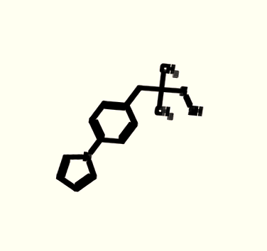 CC(C)(Cc1ccc(-n2cccc2)cc1)SS